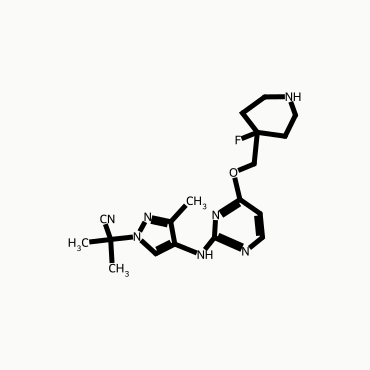 Cc1nn(C(C)(C)C#N)cc1Nc1nccc(OCC2(F)CCNCC2)n1